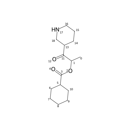 CC(OC(=O)C1CCCCC1)C(=O)C1CCCNC1